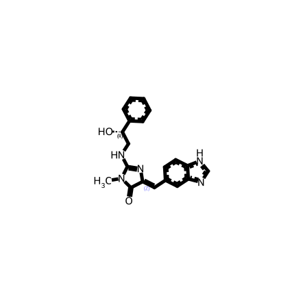 CN1C(=O)/C(=C/c2ccc3[nH]cnc3c2)N=C1NC[C@H](O)c1ccccc1